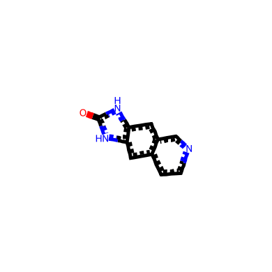 O=c1[nH]c2cc3ccncc3cc2[nH]1